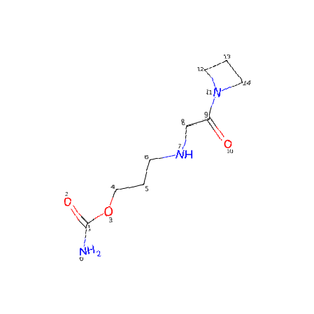 NC(=O)OCCCNCC(=O)N1CCC1